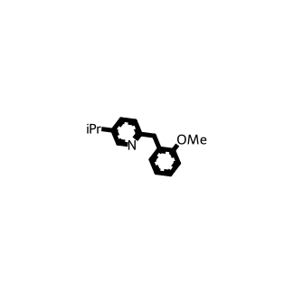 COc1ccccc1Cc1ccc(C(C)C)cn1